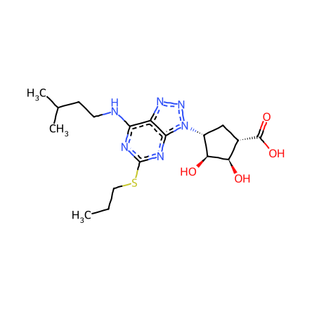 CCCSc1nc(NCCC(C)C)c2nnn([C@@H]3C[C@H](C(=O)O)[C@@H](O)[C@H]3O)c2n1